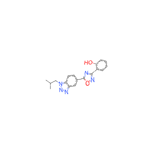 CC(C)Cn1nnc2cc(-c3nc(-c4ccccc4O)no3)ccc21